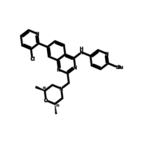 C[C@H]1CN(Cc2nc(Nc3ccc(C(C)(C)C)nc3)c3ccc(-c4ncccc4Cl)cc3n2)C[C@H](C)O1